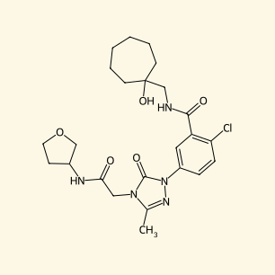 Cc1nn(-c2ccc(Cl)c(C(=O)NCC3(O)CCCCCC3)c2)c(=O)n1CC(=O)NC1CCOC1